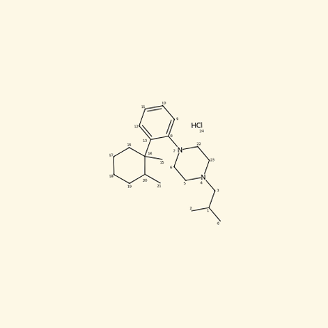 CC(C)CN1CCN(c2ccccc2C2(C)CCCCC2C)CC1.Cl